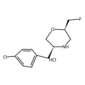 Cl.FC[C@H]1CN[C@@H](Cc2ccc(Cl)cc2)CO1